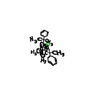 CC(C)([CH2][Sn]([Cl])([CH2]C(C)(C)c1ccccc1)[CH2][Si](C)(C)C)c1ccccc1